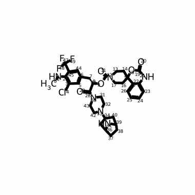 CNc1c(Cl)cc(C[C@@H](OC(=O)N2CCC3(CC2)OC(=O)Nc2ccccc23)C(=O)N2CCN(C3CC4CCC(C3)N4)CC2)cc1C(F)(F)F